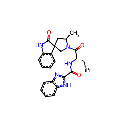 CC(C)C[C@H](NC(=O)c1nc2ccccc2[nH]1)C(=O)N1C[C@]2(C[C@H]1C)C(=O)Nc1ccccc12